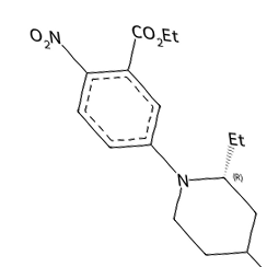 CCOC(=O)c1cc(N2CCC(C)C[C@H]2CC)ccc1[N+](=O)[O-]